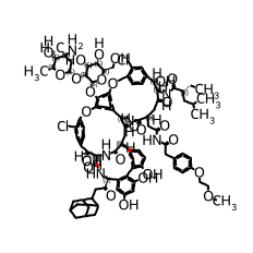 CC[C@H](CC(C)C)C(=O)N[C@H]1C(=O)C[C@@H](CC(=O)NC(=O)Cc2ccc(OCCOC)cc2)C(=O)N[C@H]2C(=O)C[C@H]3C(=O)N[C@H](C(=O)N[C@H](C(=O)CC4C5CC6CC(C5)CC4C6)c4cc(O)cc(O)c4-c4cc3ccc4O)[C@H](O)c3ccc(c(Cl)c3)Oc3cc2cc(c3O[C@@H]2O[C@H](CO)[C@@H](O)[C@H](O)[C@H]2O[C@H]2C[C@](C)(N)[C@H](O)[C@H](C)O2)Oc2ccc(cc2Cl)[C@H]1O